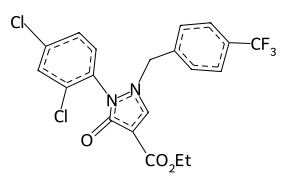 CCOC(=O)c1cn(Cc2ccc(C(F)(F)F)cc2)n(-c2ccc(Cl)cc2Cl)c1=O